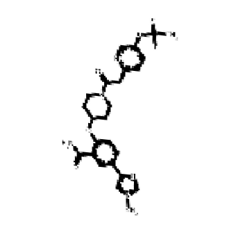 Cn1cnc(-c2ccc(OC3CCN(C(=O)Cc4ccc(OC(C)(F)F)cn4)CC3)c(C(N)=O)c2)c1